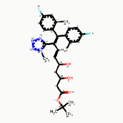 Cc1cc(F)ccc1C(=C(/C=C/C(O)CC(O)CC(=O)OC(C)(C)C)c1nnnn1C)c1ccc(F)cc1C